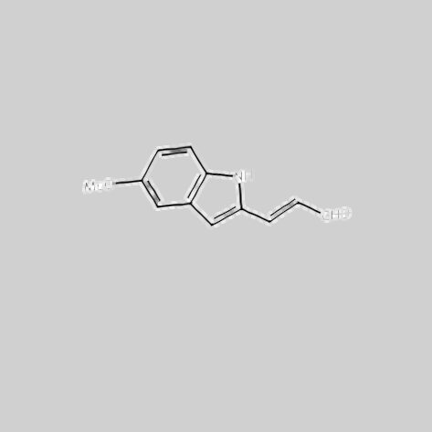 COc1ccc2[nH]c(/C=C/C=O)cc2c1